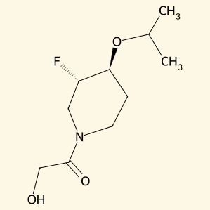 CC(C)O[C@H]1CCN(C(=O)CO)C[C@@H]1F